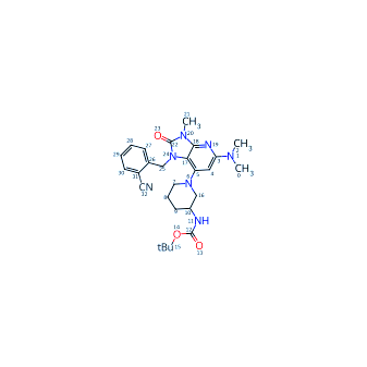 CN(C)c1cc(N2CCCC(NC(=O)OC(C)(C)C)C2)c2c(n1)n(C)c(=O)n2Cc1ccccc1C#N